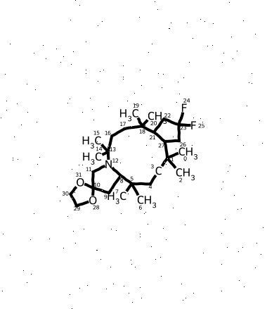 CC1(C)CCC(C)(C)C2CC3(CN2C(C)(C)CCC(C)(C)C2CC(F)(F)CC21)OCCO3